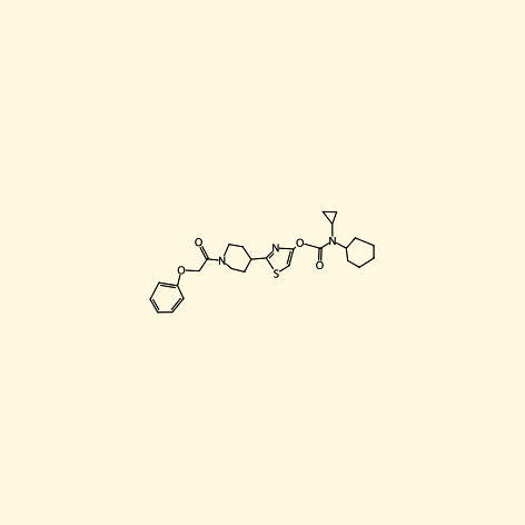 O=C(COc1ccccc1)N1CCC(c2nc(OC(=O)N(C3CCCCC3)C3CC3)cs2)CC1